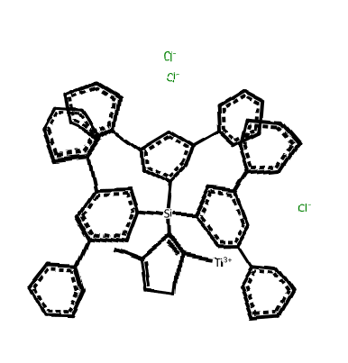 CC1=CC[C]([Ti+3])=C1[Si](c1cc(-c2ccccc2)cc(-c2ccccc2)c1)(c1cc(-c2ccccc2)cc(-c2ccccc2)c1)c1cc(-c2ccccc2)cc(-c2ccccc2)c1.[Cl-].[Cl-].[Cl-]